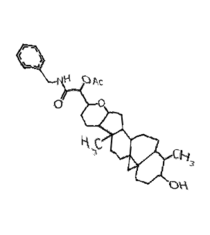 CC(=O)OC(C(=O)NCc1ccccc1)C1CCC2C(CC3C4CCC5C(C)C(O)CCC56CC46CCC23C)O1